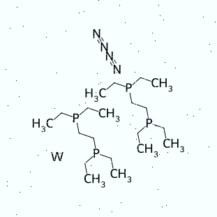 CCP(CC)CCP(CC)CC.CCP(CC)CCP(CC)CC.N#N.N#N.[W]